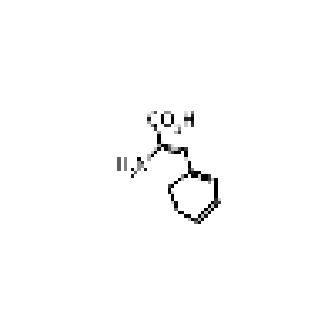 N/C(=C\C1=CC=CCC1)C(=O)O